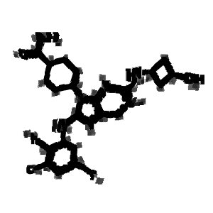 NC(=O)[C@H]1CC[C@@H](n2c(Nc3cc(F)cc(Cl)c3F)nc3cnc(N[C@H]4C[C@H](O)C4)nc32)CC1